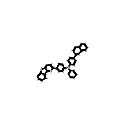 c1ccc(N(c2ccc(-c3ccc4ccccc4c3)cc2)c2ccc(-c3ccc4sc5ccccc5c4n3)cc2)cc1